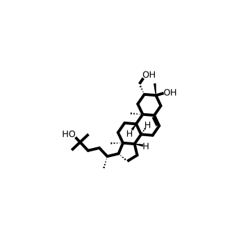 C[C@H](CCC(C)(C)O)[C@H]1CC[C@H]2[C@@H]3CC=C4C[C@@](C)(O)[C@@H](CO)C[C@]4(C)[C@H]3CC[C@]12C